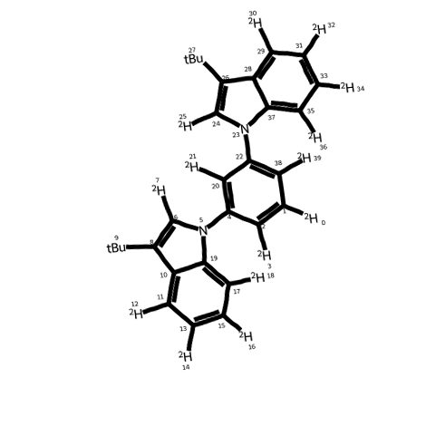 [2H]c1c([2H])c(-n2c([2H])c(C(C)(C)C)c3c([2H])c([2H])c([2H])c([2H])c32)c([2H])c(-n2c([2H])c(C(C)(C)C)c3c([2H])c([2H])c([2H])c([2H])c32)c1[2H]